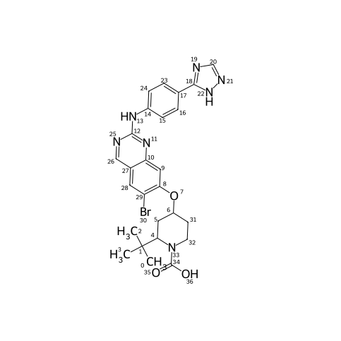 CC(C)(C)C1CC(Oc2cc3nc(Nc4ccc(-c5ncn[nH]5)cc4)ncc3cc2Br)CCN1C(=O)O